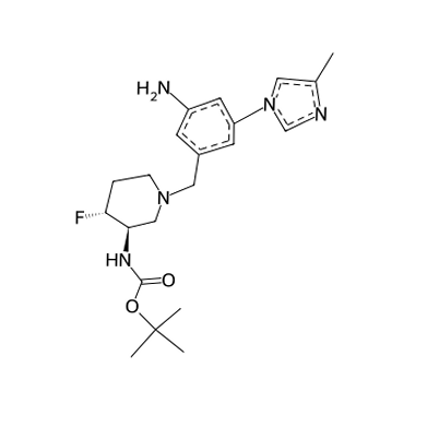 Cc1cn(-c2cc(N)cc(CN3CC[C@@H](F)[C@H](NC(=O)OC(C)(C)C)C3)c2)cn1